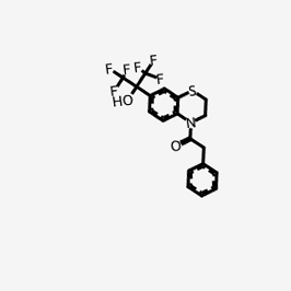 O=C(Cc1ccccc1)N1CCSc2cc(C(O)(C(F)(F)F)C(F)(F)F)ccc21